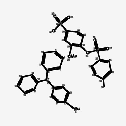 CC(C)(C)c1ccc([S+](c2ccccc2)c2ccccc2)cc1.COc1cc(S(=O)(=O)[O-])ccc1OS(=O)(=O)c1ccc(C)cc1